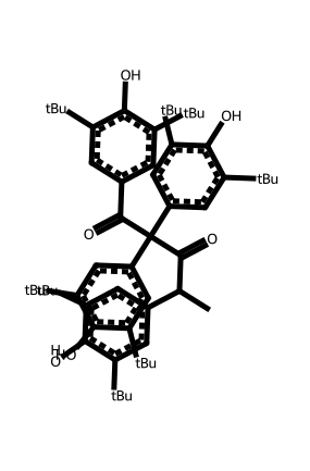 CC(C(=O)C(C(=O)c1cc(C(C)(C)C)c(O)c(C(C)(C)C)c1)(c1cc(C(C)(C)C)c(O)c(C(C)(C)C)c1)c1cc(C(C)(C)C)c(O)c(C(C)(C)C)c1)c1cc(C(C)(C)C)c(O)c(C(C)(C)C)c1